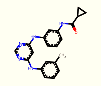 Cc1cccc(Nc2cc(Nc3cccc(NC(=O)C4CC4)c3)ncn2)c1